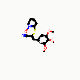 COc1cc(C=C(C#N)Sc2cccc[n+]2[O-])cc(OC)c1OC